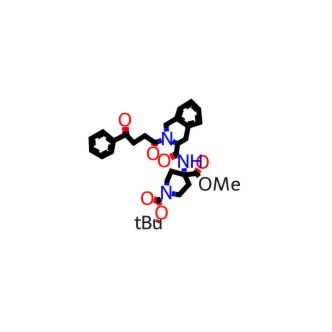 COC(=O)C1(NC(=O)C2Cc3ccccc3CN2C(=O)CCC(=O)c2ccccc2)CCN(C(=O)OC(C)(C)C)CC1